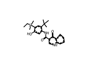 CC[Si](C)(C)c1cc(C(C)(C)C)c(NC(=O)c2c[nH]c3ccccc3c2=O)cc1O